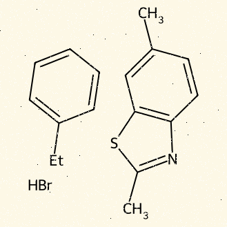 Br.CCc1ccccc1.Cc1ccc2nc(C)sc2c1